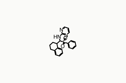 O=S(=O)(c1ccccc1)C(Nc1ncccn1)C1CCCc2ccccc21